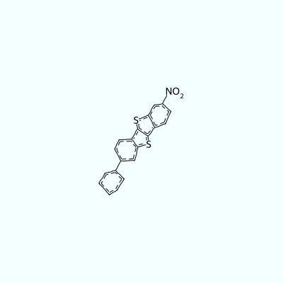 O=[N+]([O-])c1ccc2c(c1)sc1c3ccc(-c4ccccc4)cc3sc21